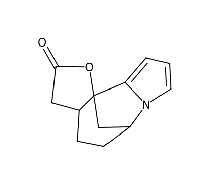 O=C1CC2CCC3CC2(O1)c1cccn13